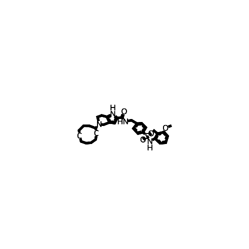 COc1cccc(NS(=O)(=O)c2ccc(CNC(=O)c3cc4c([nH]3)CCN(C3CCCCCCCCC3)C4)cc2)c1C